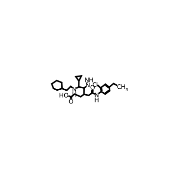 CCc1ccc(NC(=O)CC(CCC(=O)O)C(N=N)C(NCCC2CCCCC2)C2CC2)c(Cl)c1